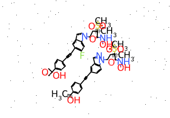 C[C@@H](O)c1ccc(C#Cc2ccc3c(cnn3CC[C@](C)(C(=O)NO)S(C)(=O)=O)c2)cc1.C[C@@](CCn1ccc2cc(C#Cc3ccc(C4(O)COC4)cc3)c(F)cc21)(C(=O)NO)S(C)(=O)=O